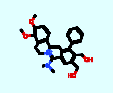 COc1ccc2c(c1OC)CC[n+]1c-2cc2c(-c3ccccc3)c(CO)c(CO)cc2c1N(C)C